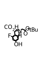 CC(C)(C)OC(=O)CN[C@@H](Cc1c(F)cc(O)cc1F)C(=O)O